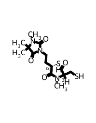 [3H]C([C]=O)(CS)N(C)C(=O)[C@@H](S)CCN1C(=O)N(C)C(C)(C)C1=O